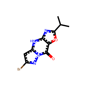 CC(C)c1nc2[nH]c3cc(Br)nn3c(=O)c2o1